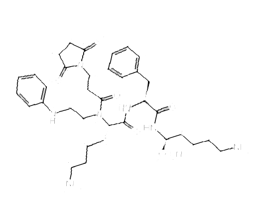 NCCCC[C@H](NC(=O)[C@H](Cc1ccccc1)NC(=O)[C@H](CCCCN)N(CCNc1ccccc1)C(=O)CCN1C(=O)CCC1=S)C(=O)O